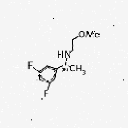 COCCN[C@H](C)c1cc(F)[c]c(F)c1